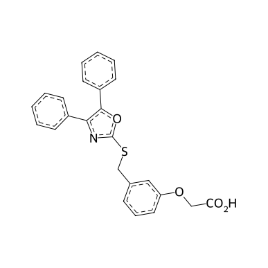 O=C(O)COc1cccc(CSc2nc(-c3ccccc3)c(-c3ccccc3)o2)c1